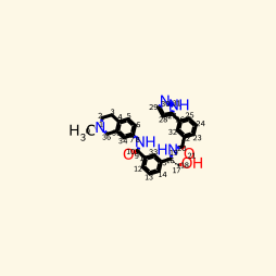 CN1CCc2ccc(NC(=O)c3cccc([C@@H](CO)NC(=O)c4cccc(-c5ccn[nH]5)c4)c3)cc2C1